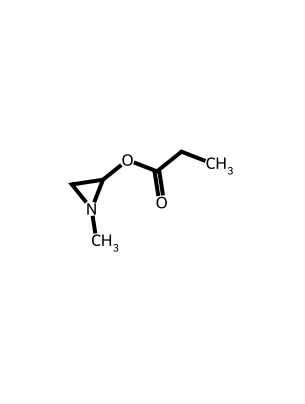 CCC(=O)OC1CN1C